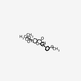 COc1cccc(-n2cc3c(n2)C(=O)CC2(CCN(C(=O)OC(C)(C)C)CC2)O3)c1